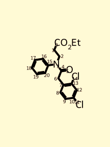 CCOC(=O)CCN(C(=O)Cc1ccc(Cl)cc1Cl)c1ccccc1